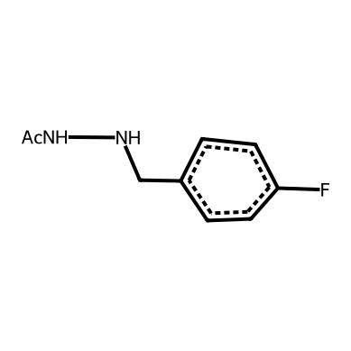 CC(=O)NNCc1ccc(F)cc1